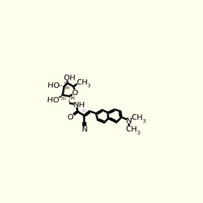 CC1O[C@H](CNC(=O)/C(C#N)=C/c2ccc3cc(N(C)C)ccc3c2)[C@@H](O)[C@H](O)[C@H]1O